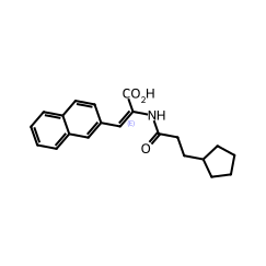 O=C(CCC1CCCC1)N/C(=C/c1ccc2ccccc2c1)C(=O)O